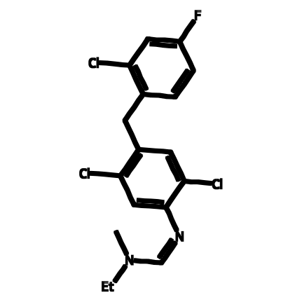 CCN(C)/C=N\c1cc(Cl)c(Cc2ccc(F)cc2Cl)cc1Cl